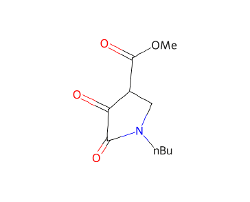 CCCCN1CC(C(=O)OC)C(=O)C1=O